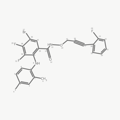 Cc1cc(I)ccc1Nc1c(C(=O)NOCC#Cc2ccccc2F)cc(Br)c(F)c1F